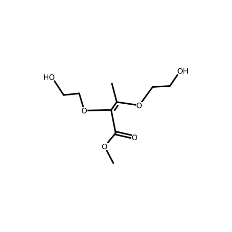 COC(=O)C(OCCO)=C(C)OCCO